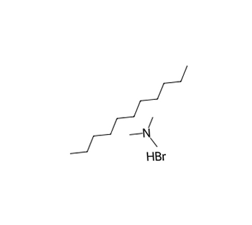 Br.CCCCCCCCCCC.CN(C)C